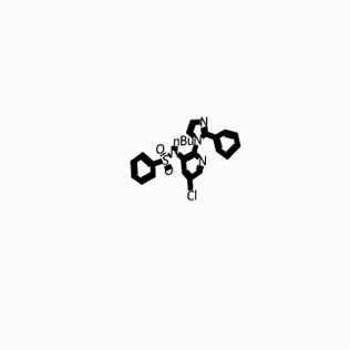 CCCCN(c1cc(Cl)cnc1-n1ccnc1-c1ccccc1)S(=O)(=O)c1ccccc1